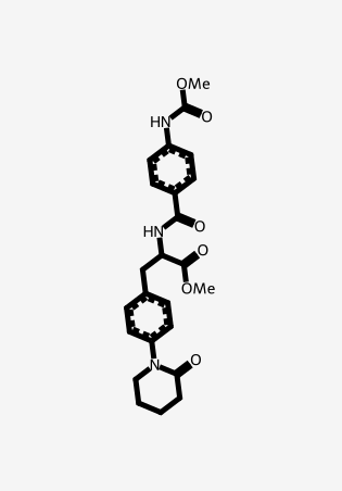 COC(=O)Nc1ccc(C(=O)NC(Cc2ccc(N3CCCCC3=O)cc2)C(=O)OC)cc1